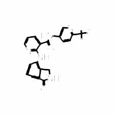 O=C(Nc1ccc(C(F)(F)F)nc1)c1cccnc1Nc1cccc2c1CNC2=O